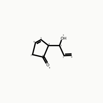 C=CC(O)C1C=CCC1=O